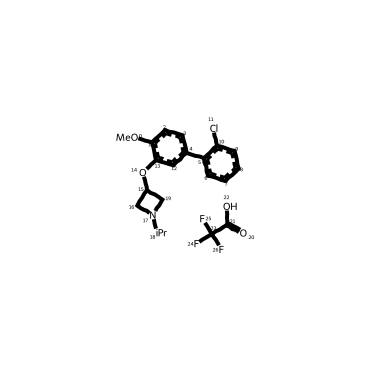 COc1ccc(-c2ccccc2Cl)cc1OC1CN(C(C)C)C1.O=C(O)C(F)(F)F